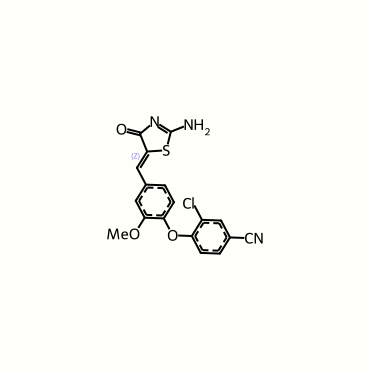 COc1cc(/C=C2\SC(N)=NC2=O)ccc1Oc1ccc(C#N)cc1Cl